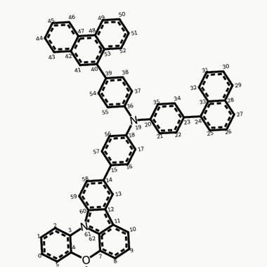 c1ccc2c(c1)Oc1cccc3c4cc(-c5ccc(N(c6ccc(-c7cccc8ccccc78)cc6)c6ccc(-c7cc8ccccc8c8ccccc78)cc6)cc5)ccc4n-2c13